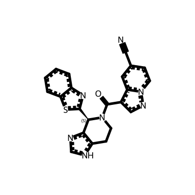 N#Cc1ccn2ncc(C(=O)N3CCc4[nH]cnc4[C@H]3c3nc4ccccc4s3)c2c1